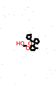 Cc1ccc(OCCO)cc1-c1ccccc1C(=O)c1ccccc1